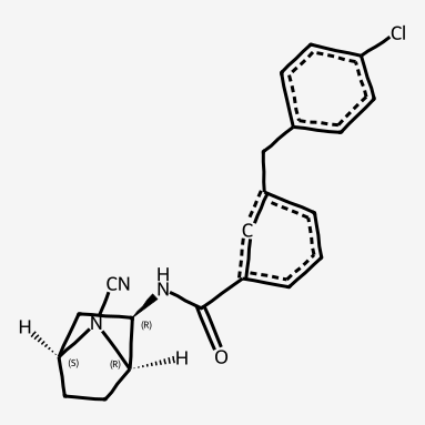 N#CN1[C@H]2CC[C@@H]1[C@H](NC(=O)c1cccc(Cc3ccc(Cl)cc3)c1)C2